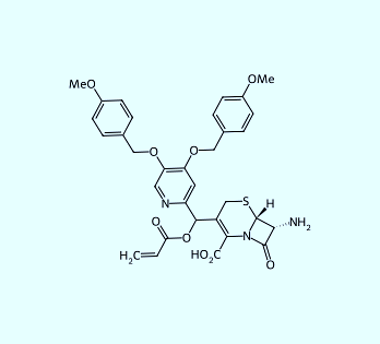 C=CC(=O)OC(C1=C(C(=O)O)N2C(=O)[C@@H](N)[C@H]2SC1)c1cc(OCc2ccc(OC)cc2)c(OCc2ccc(OC)cc2)cn1